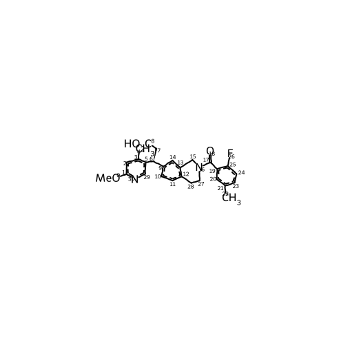 COc1cc(C)c([C@@H](CC(=O)O)c2ccc3c(c2)CN(C(=O)c2cc(C)ccc2F)CC3)cn1